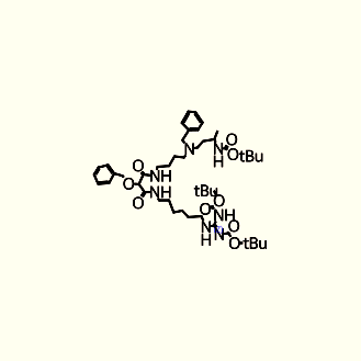 CC(CCN(CCCCNC(=O)C(OCc1ccccc1)C(=O)NCCCCCCN/C(=N/C(=O)OC(C)(C)C)NC(=O)OC(C)(C)C)Cc1ccccc1)NC(=O)OC(C)(C)C